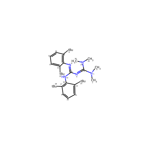 CN(C)C(=N/C(=N/c1c(C(C)(C)C)cccc1C(C)(C)C)Nc1c(C(C)(C)C)cccc1C(C)(C)C)N(C)C